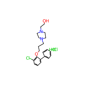 Cl.Cl.OCCN1CCN(CCCOc2c(Cl)cccc2-c2ccccc2)CC1